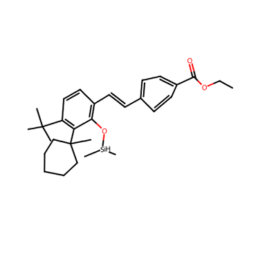 CCOC(=O)c1ccc(C=Cc2ccc(C(C)(C)C)c(C3(C)CCCCC3)c2O[SiH](C)C)cc1